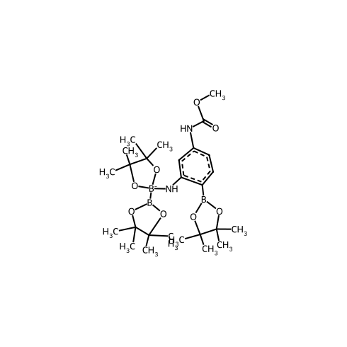 COC(=O)Nc1ccc(B2OC(C)(C)C(C)(C)O2)c(N[B-]2(B3OC(C)(C)C(C)(C)O3)OC(C)(C)C(C)(C)O2)c1